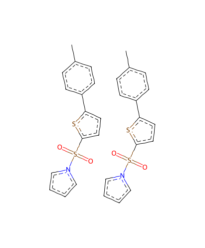 Cc1ccc(-c2ccc(S(=O)(=O)n3cccc3)s2)cc1.Cc1ccc(-c2ccc(S(=O)(=O)n3cccc3)s2)cc1